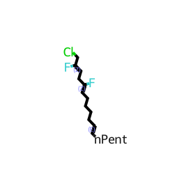 CCCCC/C=C/CCCC/C=C(\F)C/C=C(\F)CCl